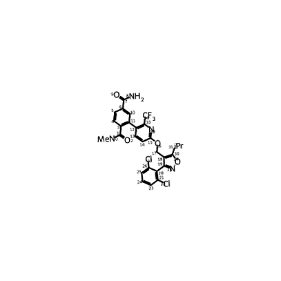 CNC(=O)c1ccc(C(N)=O)cc1-c1ccc(OCc2c(-c3c(Cl)cccc3Cl)noc2C(C)C)nc1C(F)(F)F